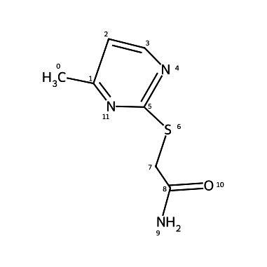 Cc1ccnc(SCC(N)=O)n1